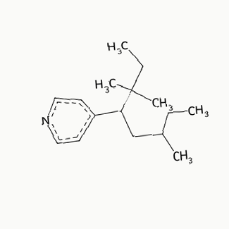 CCC(C)CC(c1ccncc1)C(C)(C)CC